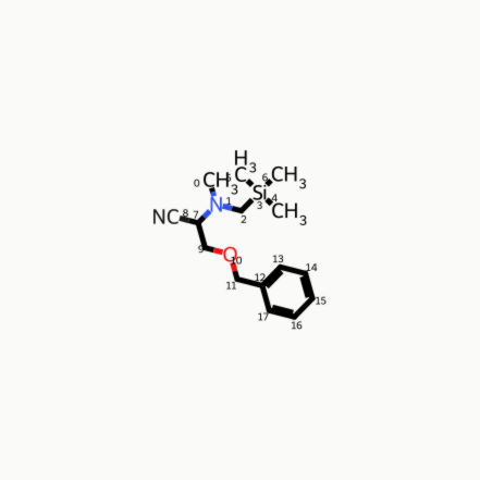 CN(C[Si](C)(C)C)C(C#N)COCc1ccccc1